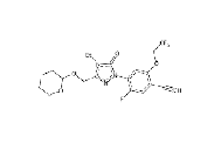 C#Cc1cc(F)c(-n2nc(COC3CCCCO3)n(CC)c2=O)cc1OCC(F)(F)F